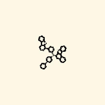 c1ccc(-c2ccc(N(c3cccc(-c4cccc5c4sc4ccccc45)c3)c3cc4ccccc4c4c3sc3ccccc34)cc2)cc1